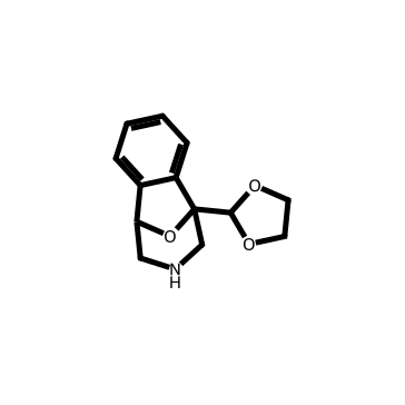 c1ccc2c(c1)C1CNCC2(C2OCCO2)O1